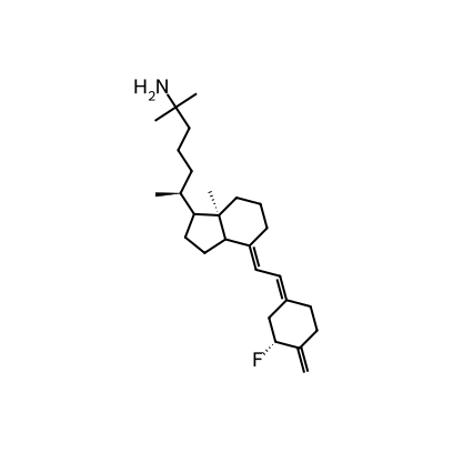 C=C1CC/C(=C/C=C2\CCC[C@@]3(C)C2CCC3[C@@H](C)CCCC(C)(C)N)C[C@H]1F